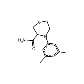 Cc1cc(C)cc(N2CCSCC2C(N)=O)c1